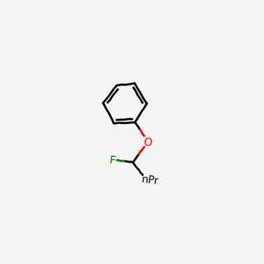 [CH2]CCC(F)Oc1ccccc1